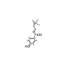 C[Si](C)(C)CCOC(O)c1ccc(O)cc1